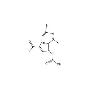 CC(=O)c1cn(CC(=O)O)c2c(C)nc(Br)cc12